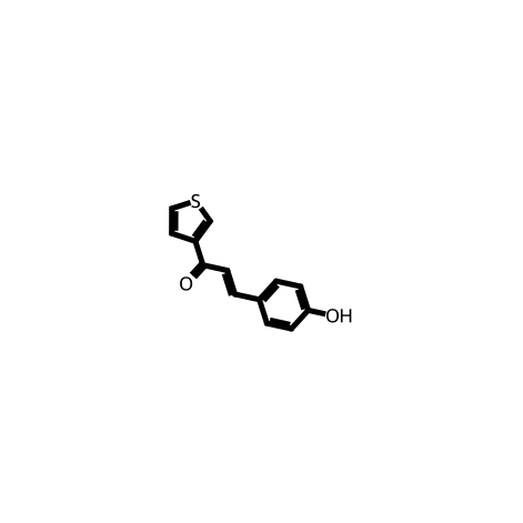 O=C(C=Cc1ccc(O)cc1)c1ccsc1